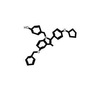 Cc1c(-c2ccc(OC3CCCC3)cc2)n(Cc2ccc(O)cc2)c2ccc(OCc3ccccc3)cc12